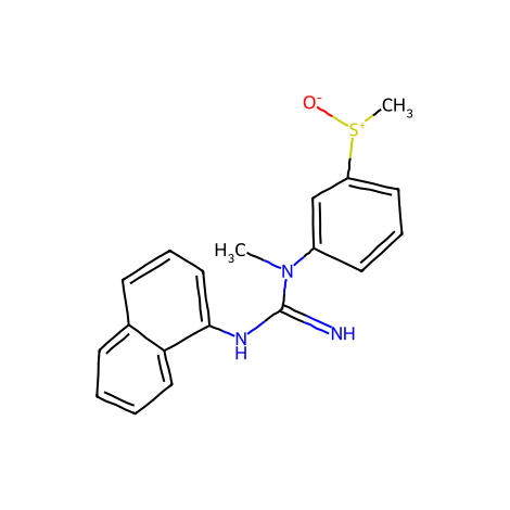 CN(C(=N)Nc1cccc2ccccc12)c1cccc([S+](C)[O-])c1